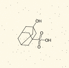 O=S(=O)(O)C12CC3CC(CC(O)(C3)C1)C2